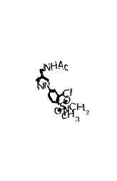 CC(=O)NCc1cnn(-c2ccc(S(=O)(=O)N(C)C)c(Cl)c2)c1